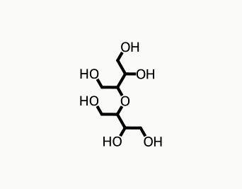 OCC(O)C(CO)OC(CO)C(O)CO